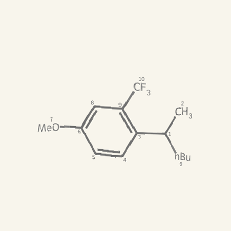 CCCCC(C)c1ccc(OC)cc1C(F)(F)F